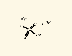 O=S(=O)([O-])O.[F-].[Na+].[Na+]